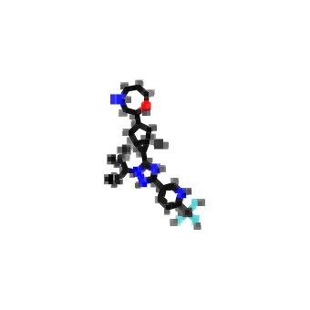 CC(C)n1nc(-c2ccc(C(F)(F)F)nc2)nc1C1[C@H]2CC(C3CNCCCO3)C[C@@H]12